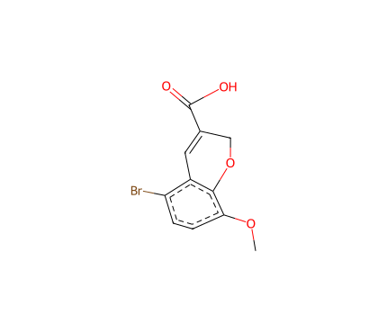 COc1ccc(Br)c2c1OCC(C(=O)O)=C2